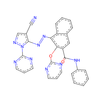 N#Cc1cnn(-c2ncccn2)c1/N=N/c1c(Oc2ncccn2)c(C(=O)Nc2ccccc2)cc2ccccc12